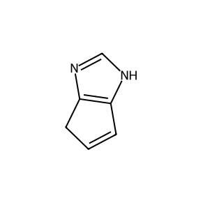 C1=Cc2[nH]cnc2C1